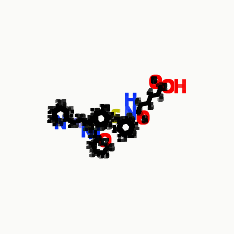 O=C(O)CCCCC(=O)Nc1ccccc1Sc1ccc2c(/C=C/c3ccccn3)nn(C3CCCCO3)c2c1